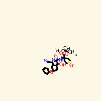 CC(C)(C)OC(=O)C1(CNC(=O)c2nc(C#N)c3cc(Oc4ccccc4)ccc3c2O)CC[S+]([O-])CC1